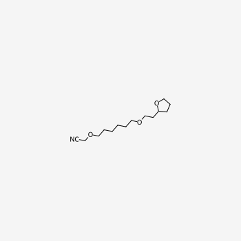 N#CCOCCCCCCOCCC1CCCO1